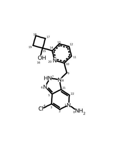 NN1C=C(Cl)C2=NNN(Cc3cccc(C4(O)CCC4)n3)C2=C1